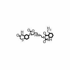 Cc1cccc2[nH]c(=O)n(CCNCC3CN(c4ccc5c(c4)NC(=O)CS5)C(=O)O3)c(=O)c12